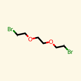 Br[CH]COCCOC[CH]Br